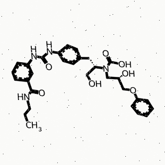 CCCNC(=O)c1cccc(NC(=O)Nc2ccc(C[C@@H](CO)N(C[C@H](O)COc3ccccc3)C(=O)O)cc2)c1